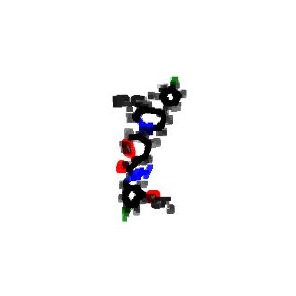 O=C(NCc1cc(F)cc(OC(F)(F)F)c1)C1CCC(N2CC[C@@H](c3ccc(F)cc3)[C@H](C(=O)O)C2)CO1